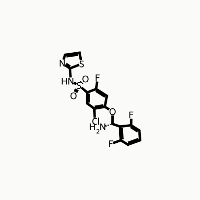 N[C@H](Oc1cc(F)c(S(=O)(=O)Nc2nccs2)cc1Cl)c1c(F)cccc1F